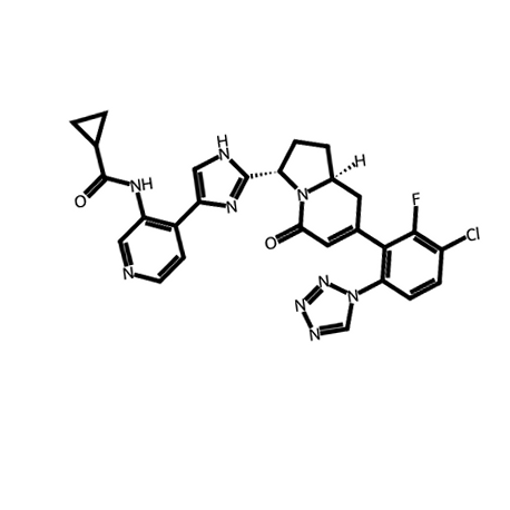 O=C(Nc1cnccc1-c1c[nH]c([C@@H]2CC[C@H]3CC(c4c(-n5cnnn5)ccc(Cl)c4F)=CC(=O)N32)n1)C1CC1